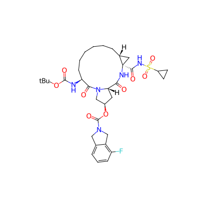 CC(C)(C)OC(=O)N[C@H]1CCCCCC[C@@H]2C[C@@]2(C(=O)NS(=O)(=O)C2CC2)NC(=O)[C@@H]2C[C@@H](OC(=O)N3Cc4cccc(F)c4C3)CN2C1=O